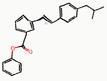 CC(C)Cc1ccc(/C=C/c2cccc(C(=O)Oc3ccccc3)c2)cc1